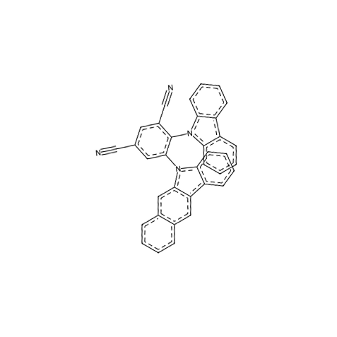 N#Cc1cc(C#N)c(-n2c3ccccc3c3ccccc32)c(-n2c3ccccc3c3cc4ccccc4cc32)c1